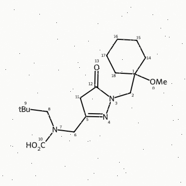 COC1(CN2N=C(CN(CC(C)(C)C)C(=O)O)CC2=O)CCCCC1